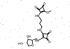 COc1c(NCCCNc2c(NC[C@H]3OC[C@H](O)[C@@H]3O)c(=O)c2=O)c(=O)c1=O